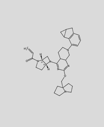 C=CC(=O)N1CC[C@@H]2[C@H]1CN2C1=NC(OCC23CCCN2CCC3)=NC2CN(c3cccc4c3C3CC3C4)CCC12